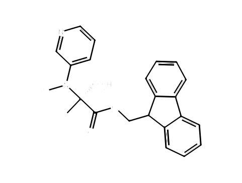 C[C@](C(=O)O)(C(=O)OCC1c2ccccc2-c2ccccc21)N(Br)c1cccnc1